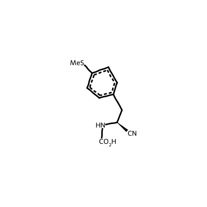 CSc1ccc(C[C@@H](C#N)NC(=O)O)cc1